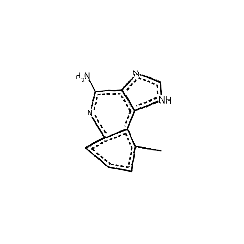 Cc1cccc2nc(N)c3nc[nH]c3c12